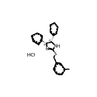 Cc1cccc(CSC2=N[C@H](c3ccccc3)[C@H](c3ccccc3)N2)c1.Cl